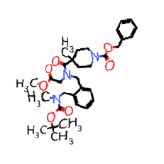 COC(=O)CN(Cc1ccccc1CN(C)C(=O)OC(C)(C)C)C(=O)C1(C)CCN(C(=O)OCc2ccccc2)CC1